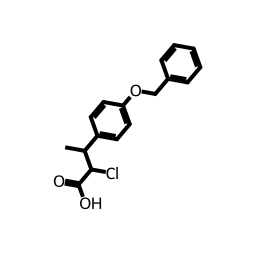 CC(c1ccc(OCc2ccccc2)cc1)C(Cl)C(=O)O